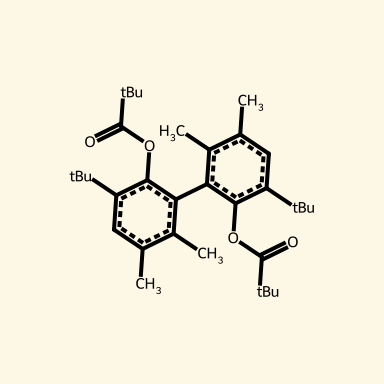 Cc1cc(C(C)(C)C)c(OC(=O)C(C)(C)C)c(-c2c(C)c(C)cc(C(C)(C)C)c2OC(=O)C(C)(C)C)c1C